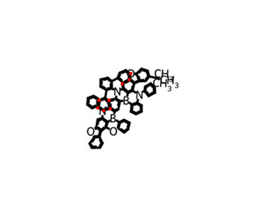 CC(C)(C)c1ccc2oc3cc4c5c(c3c2c1)N(c1ccccc1)c1ccccc1B5c1cc2c(cc1N4c1c(-c3ccccc3)cccc1-c1ccccc1)N(c1ccccc1)c1cc3oc4ccccc4c3c3c1B2c1ccccc1O3